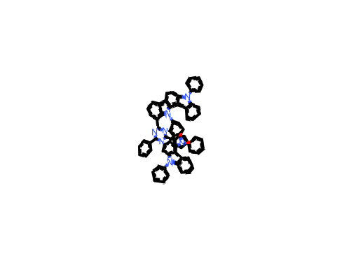 c1ccc(-c2nc(-c3ccccc3)nc(-c3cccc4c5ccc6c(c7ccccc7n6-c6ccccc6)c5n(-c5ccc6c(c5)c5ccc7c(c8ccccc8n7-c7ccccc7)c5n6-c5ccccc5)c34)n2)cc1